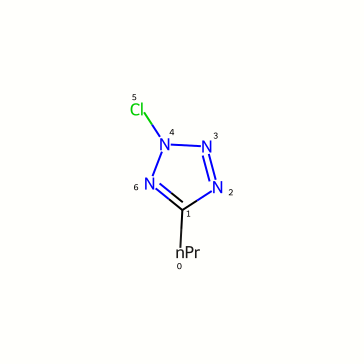 CCCc1nnn(Cl)n1